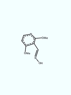 COc1ccnc(OC)c1C=NO